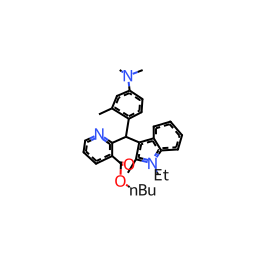 CCCCOC(=O)c1cccnc1C(c1ccc(N(C)C)cc1C)c1c(C)n(CC)c2ccccc12